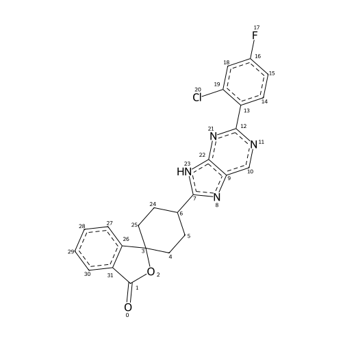 O=C1OC2(CCC(c3nc4cnc(-c5ccc(F)cc5Cl)nc4[nH]3)CC2)c2ccccc21